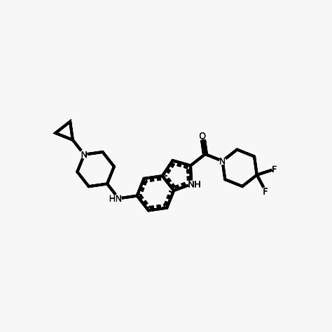 O=C(c1cc2cc(NC3CCN(C4CC4)CC3)ccc2[nH]1)N1CCC(F)(F)CC1